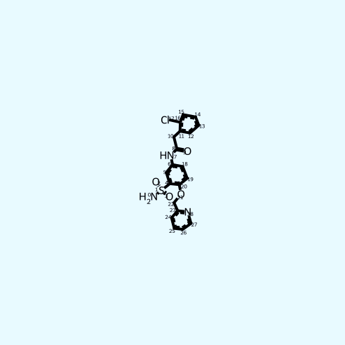 NS(=O)(=O)c1cc(NC(=O)Cc2ccccc2Cl)ccc1OCc1ccccn1